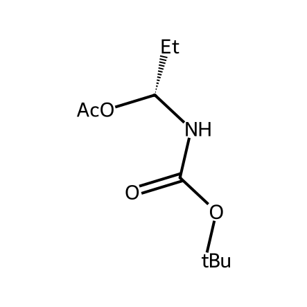 CC[C@H](NC(=O)OC(C)(C)C)OC(C)=O